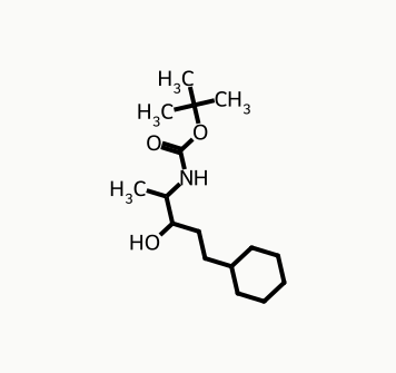 CC(NC(=O)OC(C)(C)C)C(O)CCC1CCCCC1